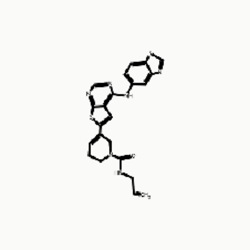 C=CCNC(=O)N1CCC=C(c2cc3c(Nc4ccc5scnc5c4)ncnc3s2)C1